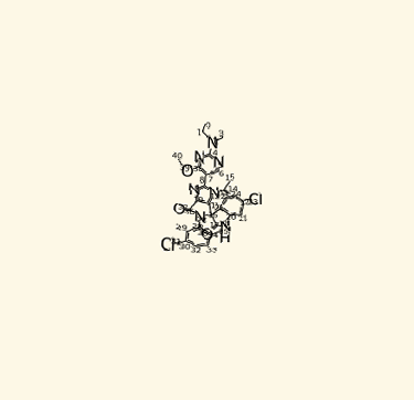 CCN(C)c1ncc(-c2nc3c(n2C(C)C)C2(C(=O)Nc4cc(Cl)ccc42)N(c2cc(Cl)ccc2C)C3=O)c(OC)n1